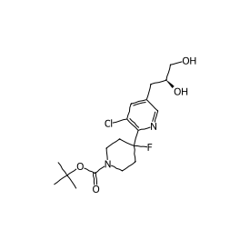 CC(C)(C)OC(=O)N1CCC(F)(c2ncc(C[C@H](O)CO)cc2Cl)CC1